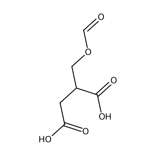 O=COCC(CC(=O)O)C(=O)O